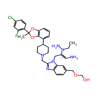 CCN(N)/C(=C\N)Cn1c(CN2CCC(c3cccc4c3OC(C)(c3ccc(Cl)cc3F)O4)CC2)nc2ccc(COCO)cc21